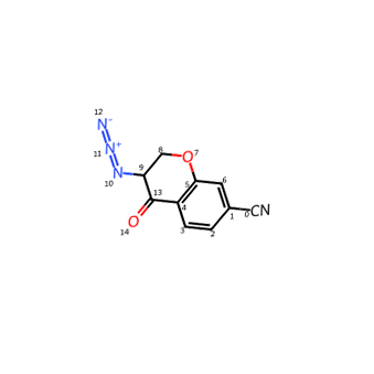 N#Cc1ccc2c(c1)OCC(N=[N+]=[N-])C2=O